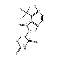 O=C1CCC(N2Cc3ccc(Br)c(C(F)(F)F)c3C2=O)C(=O)N1